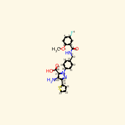 COc1ccc(F)cc1C(=O)NCc1ccc(-n2nc(-c3cccs3)c(N)c2C(=O)O)cc1